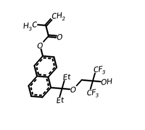 C=C(C)C(=O)Oc1ccc2c(C(CC)(CC)OCC(O)(C(F)(F)F)C(F)(F)F)cccc2c1